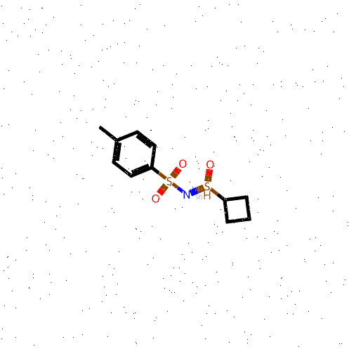 Cc1ccc(S(=O)(=O)/N=[SH](=O)/C2CCC2)cc1